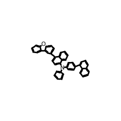 c1ccc(N(c2ccc(-c3cccc4ccccc34)cc2)c2ccc(-c3ccc4oc5ccccc5c4c3)c3ccccc23)cc1